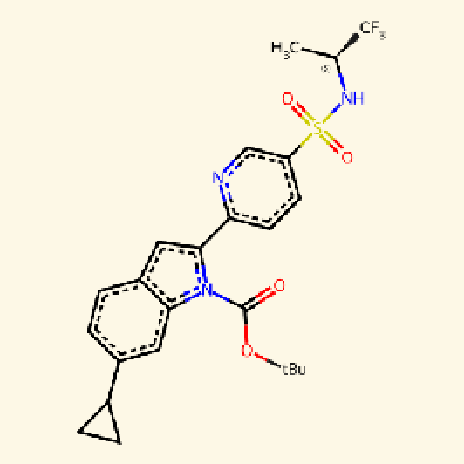 C[C@H](NS(=O)(=O)c1ccc(-c2cc3ccc(C4CC4)cc3n2C(=O)OC(C)(C)C)nc1)C(F)(F)F